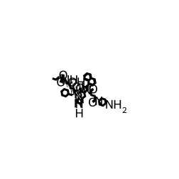 CCCS(=O)(=O)NC[C@H](O)C[C@H](O)[C@H](CC1CCCCC1)NC(=O)C(Cc1c[nH]cn1)N(Cc1cccc2ccccc12)C(=O)CCC(=O)N1CCC(N)CC1